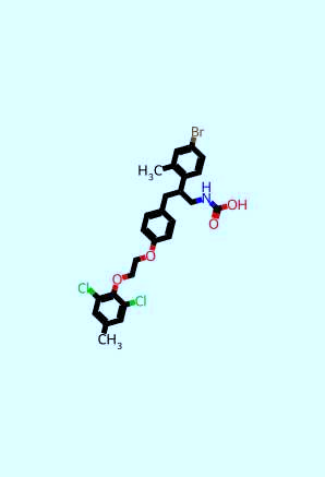 Cc1cc(Cl)c(OCCOc2ccc(CC(CNC(=O)O)c3ccc(Br)cc3C)cc2)c(Cl)c1